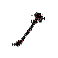 CCCN(OCCNC(=O)OC1CCC1)C(=O)C1=CC(NCc2ccc(CNC(=O)CCOCCOCCOCCOCCOCCOCCOCCOCCOCCOCCC(=O)Oc3c(F)c(F)c(S(=O)(=O)O)c(F)c3F)cc2)=C(C=N)N=C(N)C1